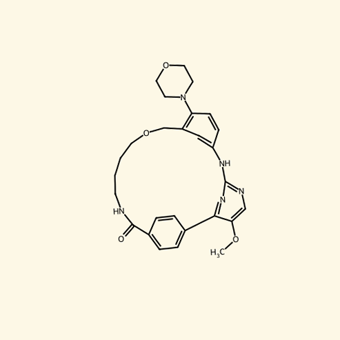 COc1cnc2nc1-c1ccc(cc1)C(=O)NCCCCOCc1cc(ccc1N1CCOCC1)N2